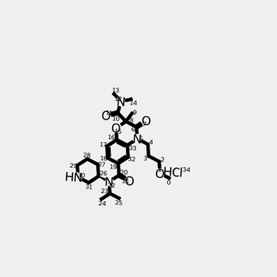 COCCCN1C(=O)C(C)(C(=O)N(C)C)Oc2ccc(C(=O)N(C(C)C)[C@@H]3CCCNC3)cc21.Cl